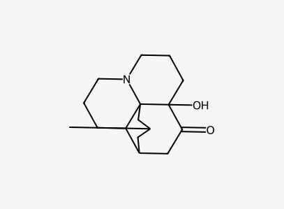 CC1CC2CC(=O)C3(O)CCCN4CCCC2C43C1